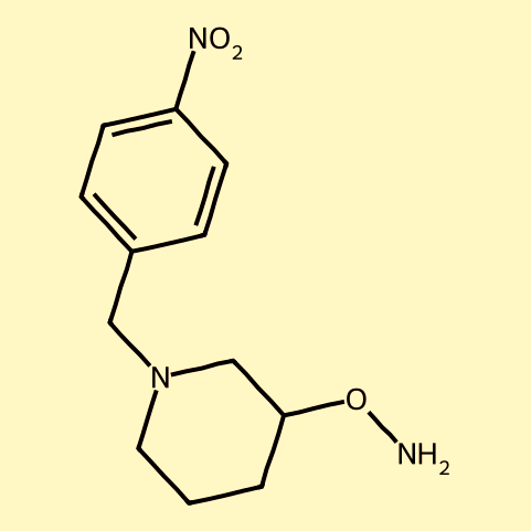 NOC1CCCN(Cc2ccc([N+](=O)[O-])cc2)C1